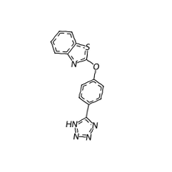 c1ccc2sc(Oc3ccc(-c4nnn[nH]4)cc3)nc2c1